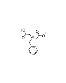 COC(=O)C[C@@H](CC(=O)O)Cc1ccccc1